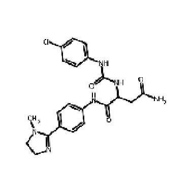 CN1CCN=C1c1ccc(NC(=O)C(CC(N)=O)NC(=O)Nc2ccc(Cl)cc2)cc1